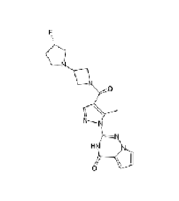 Cc1c(C(=O)N2CC(N3CC[C@H](F)C3)C2)cnn1-c1nn2cccc2c(=O)[nH]1